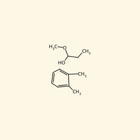 CCC(O)OC.Cc1ccccc1C